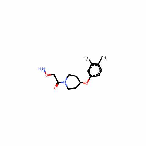 Cc1ccc(OC2CCN(C(=O)CON)CC2)cc1C(F)(F)F